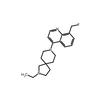 CCN1CCC2(CCN(c3ccnc4c(CF)cccc34)CC2)C1